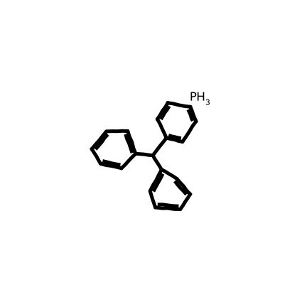 P.c1ccc(C(c2ccccc2)c2ccccc2)cc1